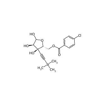 C[Si](C)(C)C#C[C@@]1(O)[C@@H](COC(=O)c2ccc(Cl)cc2)OC(O)[C@@H]1O